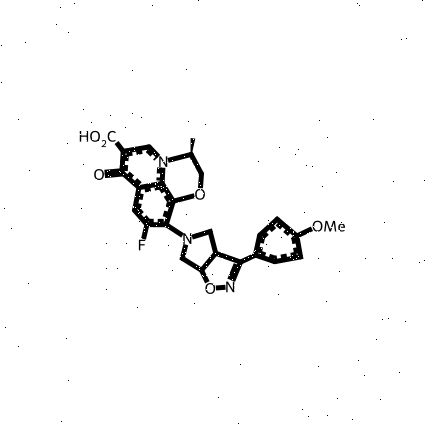 COc1ccc(C2=NOC3CN(c4c(F)cc5c(=O)c(C(=O)O)cn6c5c4OC[C@@H]6C)CC23)cc1